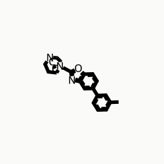 Cc1cccc(-c2ccc3oc(N4CCN5CCC4CC5)nc3c2)c1